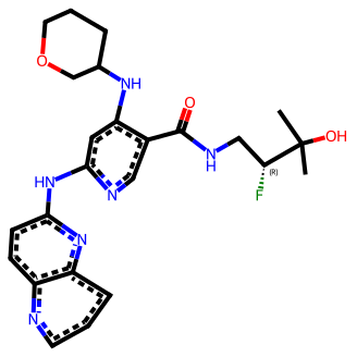 CC(C)(O)[C@H](F)CNC(=O)c1cnc(Nc2ccc3ncccc3n2)cc1NC1CCCOC1